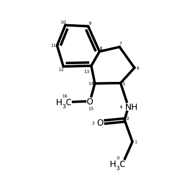 CCC(=O)NC1CCc2ccccc2C1OC